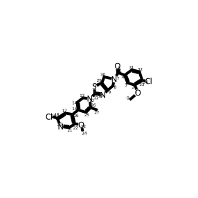 COc1cc(C(=O)N2Cc3nc(N4CC=C(c5cc(Cl)ncc5OC)C=C4C)sc3C2)ccc1Cl